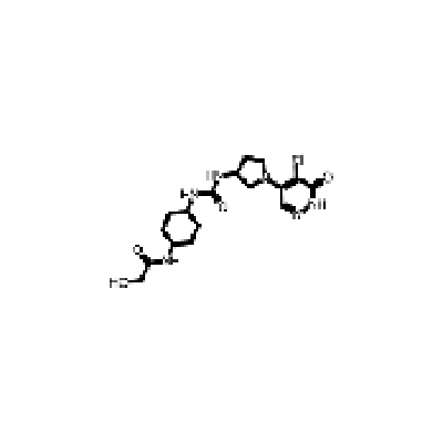 O=C(CO)NC1CCC(NC(=O)NC2CCN(c3cn[nH]c(=O)c3Cl)C2)CC1